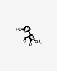 Cn1nc(-c2cccc(O)n2)c(C=O)c1Cl